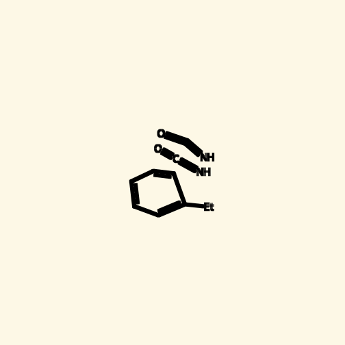 CCc1ccccc1.N=C=O.N=C=O